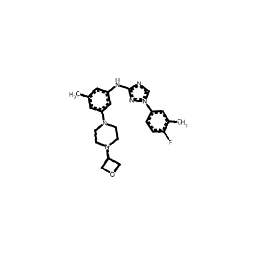 Cc1cc(Nc2ncn(-c3ccc(F)c(C)c3)n2)cc(N2CCN(C3COC3)CC2)c1